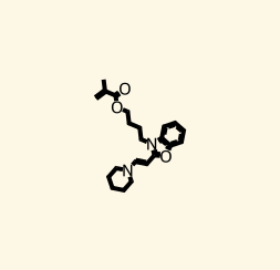 C=C(C)C(=O)OCCCC[n+]1c(C=CN2CCCCC2)oc2ccccc21